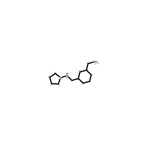 NCC1CCCC(CNN2CCCC2)C1